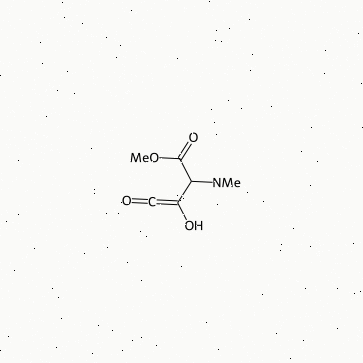 CNC(C(=O)OC)C(O)=C=O